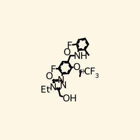 CCn1c(CO)nn(-c2cc(O[C@@H](C)C(F)(F)F)c(C(=O)Nc3c(C)cccc3F)cc2F)c1=O